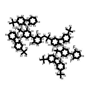 CC(C)(C)c1ccc2c(c1)c1cc(C(C)(C)C)ccc1n2-c1cc(-c2c(F)cccc2F)cc(-n2c3ccc(C(C)(C)C)cc3c3cc(C(C)(C)Cc4ccc(F)c(-c5cc(-n6c7ccccc7c7ccc(C(C)(C)C)cc76)c(C(F)(F)F)c(-n6c7ccccc7c7ccc(C(C)(C)C)cc76)c5)c4F)ccc32)c1C(F)(F)F